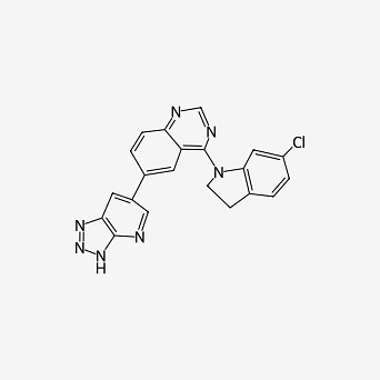 Clc1ccc2c(c1)N(c1ncnc3ccc(-c4cnc5[nH]nnc5c4)cc13)CC2